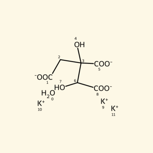 O.O=C([O-])CC(O)(C(=O)[O-])C(O)C(=O)[O-].[K+].[K+].[K+]